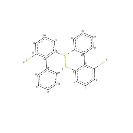 Fc1cccc(SSc2cccc(F)c2-c2ccccc2)c1-c1ccccc1